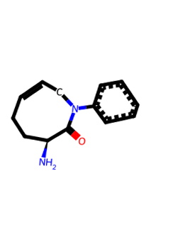 N[C@H]1CCC=CCN(c2ccccc2)C1=O